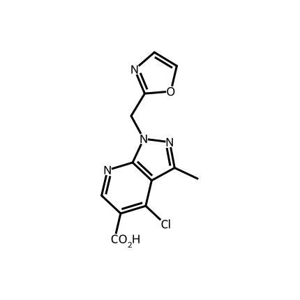 Cc1nn(Cc2ncco2)c2ncc(C(=O)O)c(Cl)c12